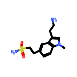 Cn1cc(CCN)c2cc(CCS(N)(=O)=O)ccc21